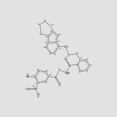 O=C(CNC(=O)c1ccccc1CCOc1cccc2c3c(sc12)CCCC3)c1ccc(Br)c([N+](=O)[O-])c1